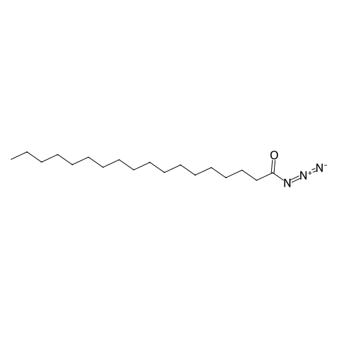 CCCCCCCCCCCCCCCCCC(=O)N=[N+]=[N-]